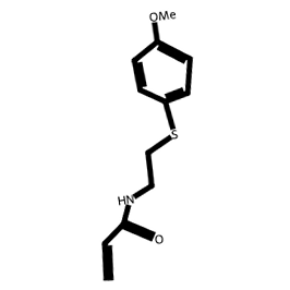 C=CC(=O)NCCSc1ccc(OC)cc1